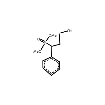 COP(=O)(OC)C(CSC#N)c1ccccc1